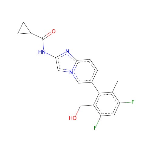 Cc1c(F)cc(F)c(CO)c1-c1ccc2nc(NC(=O)C3CC3)cn2c1